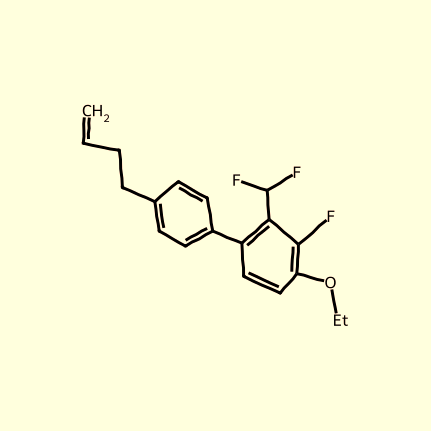 C=CCCc1ccc(-c2ccc(OCC)c(F)c2C(F)F)cc1